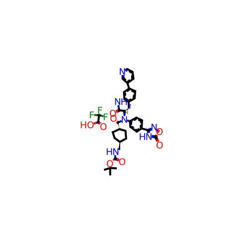 CC(C)(C)OC(=O)NC[C@H]1CC[C@H](C(=O)N(c2ccc(-c3noc(=O)[nH]3)cc2)[C@@H](Cc2ccc(-c3cccnc3)cc2)C(N)=O)CC1.O=C(O)C(F)(F)F